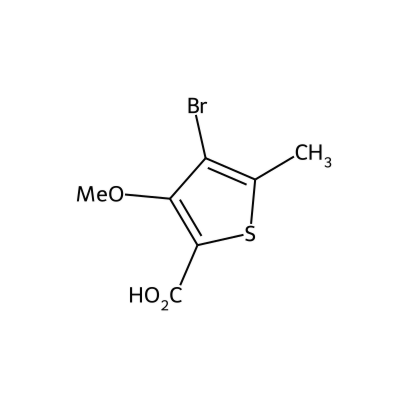 COc1c(C(=O)O)sc(C)c1Br